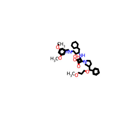 COCCCOC(c1ccccc1)C1CCCN(c2c(NC(CC3CCCCC3)C(O)CNCc3cc(OC)cc(OC)c3)c(=O)c2=O)C1